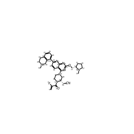 C=C(F)C(=O)N1CCN(c2nc(OC[C@@H]3CCCN3C)nc3nc(-c4cccc5c4CN(C)CC5)ccc23)C[C@@H]1CC#N